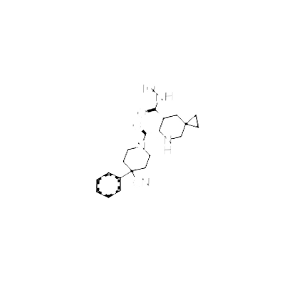 N#CC1(c2ccccc2)CCN(C(=O)[C@H]2NCC3(CC3)C[C@@H]2C(=O)NO)CC1